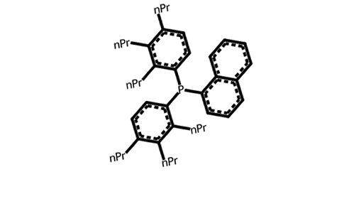 CCCc1ccc(P(c2ccc(CCC)c(CCC)c2CCC)c2cccc3ccccc23)c(CCC)c1CCC